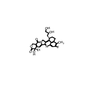 CC[C@@]1(O)C(=O)OCc2c1cc1n(c2=O)Cc2c-1nc1cc(F)c(C)c3c1c2[C@@H](C[C@@H](O)CO)CC3